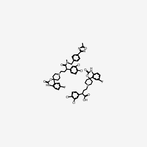 Cc1nc(-c2ccc(CN(C)C(=O)C(CCN3CCC4(CC3)OC(=O)Nc3ccc(F)cc34)c3ccc(Cl)c(Cl)c3)cc2)no1.O=C1Nc2ccc(F)cc2C2(CCN(CCC(C(=O)O)c3ccc(Cl)c(Cl)c3)CC2)O1